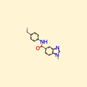 CCc1ccc(NC(=O)c2ccc3c(c2)ncn3C)cc1